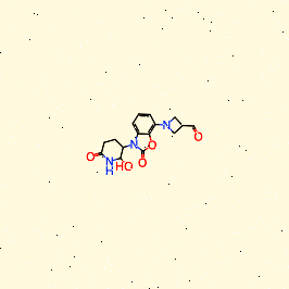 O=CC1CN(c2cccc3c2oc(=O)n3C2CCC(=O)NC2O)C1